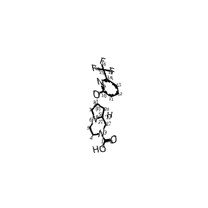 O=C(O)N1CCN2C[C@H](Oc3cccc(C(F)(F)F)n3)C[C@H]2C1